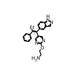 CC/C(=C(/c1cnc(OCCN)nc1)c1ccc2[nH]ncc2c1)c1ccccc1